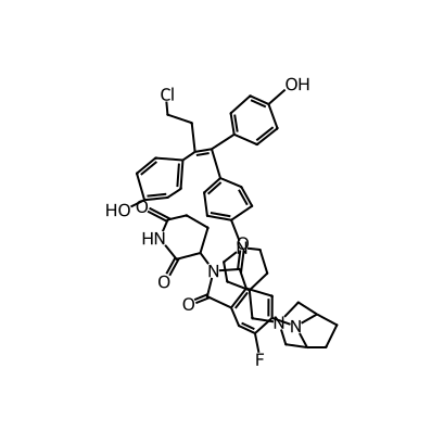 O=C1CCC(N2C(=O)c3cc(F)c(N4C5CCC4CN(CC4CCN(c6ccc(C(=C(CCCl)c7ccc(O)cc7)c7ccc(O)cc7)cc6)CC4)C5)cc3C2=O)C(=O)N1